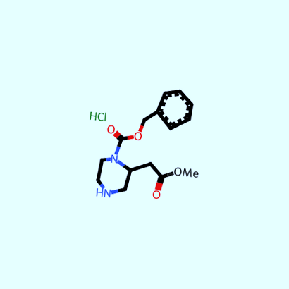 COC(=O)CC1CNCCN1C(=O)OCc1ccccc1.Cl